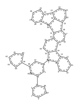 c1ccc(-c2cc(-n3c4ccccc4c4c5ccc6c7cccc8c9ccccc9n(c6c5ccc43)c87)cc(-c3ccccc3)n2)cc1